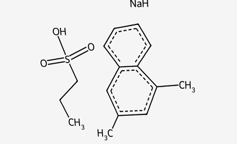 CCCS(=O)(=O)O.Cc1cc(C)c2ccccc2c1.[NaH]